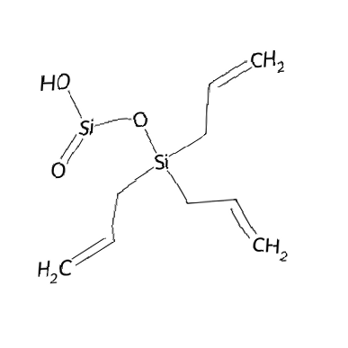 C=CC[Si](CC=C)(CC=C)O[Si](=O)O